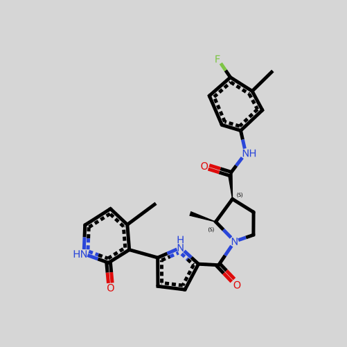 Cc1cc(NC(=O)[C@H]2CCN(C(=O)c3ccc(-c4c(C)cc[nH]c4=O)[nH]3)[C@H]2C)ccc1F